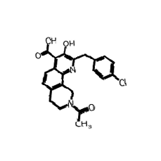 CC(=O)N1CCc2ccc3c(C(=O)O)c(O)c(Cc4ccc(Cl)cc4)nc3c2C1